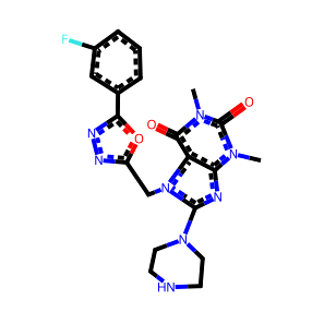 Cn1c(=O)c2c(nc(N3CCNCC3)n2Cc2nnc(-c3cccc(F)c3)o2)n(C)c1=O